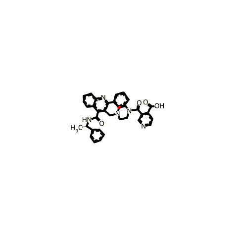 C[C@H](NC(=O)c1c(CN2CCN(C(=O)c3cnccc3C(=O)O)CC2)c(-c2ccccc2)nc2ccccc12)c1ccccc1